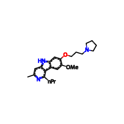 CCCc1nc(C)cc2[nH]c3cc(OCCCN4CCCC4)c(OC)cc3c12